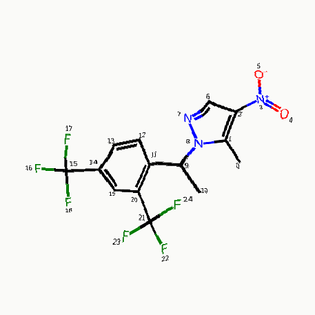 Cc1c([N+](=O)[O-])cnn1C(C)c1ccc(C(F)(F)F)cc1C(F)(F)F